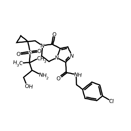 CC(C)(C(N)CO)S(=O)(=O)C1(CN2CCn3c(cnc3C(=O)NCc3ccc(Cl)cc3)C2=O)CC1